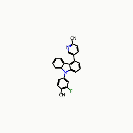 N#Cc1ccc(-c2cccc3c2c2ccccc2n3-c2ccc(C#N)c(F)c2)cn1